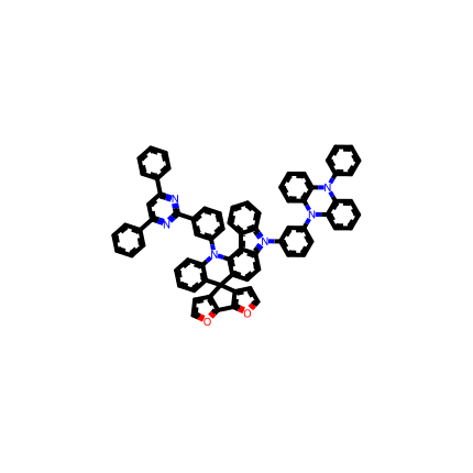 c1ccc(-c2cc(-c3ccccc3)nc(-c3cccc(N4c5ccccc5C5(c6ccoc6-c6occc65)c5ccc6c(c54)c4ccccc4n6-c4cccc(N5c6ccccc6N(c6ccccc6)c6ccccc65)c4)c3)n2)cc1